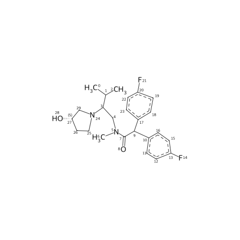 CC(C)C(CN(C)C(=O)C(c1ccc(F)cc1)c1ccc(F)cc1)N1CC[C@H](O)C1